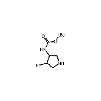 CCC1CNCC1NC(=O)OC(C)(C)C